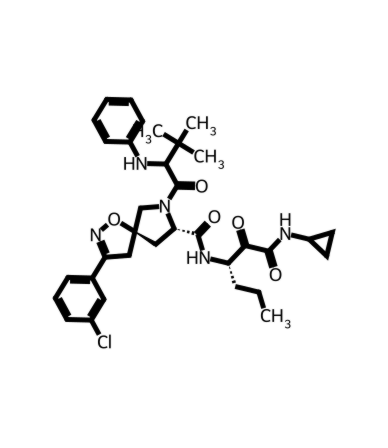 CCC[C@H](NC(=O)[C@@H]1C[C@]2(CC(c3cccc(Cl)c3)=NO2)CN1C(=O)C(Nc1ccccc1)C(C)(C)C)C(=O)C(=O)NC1CC1